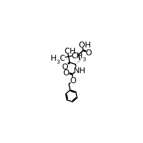 CC(C)(C)C(=O)[C@H](CCC(=O)O)NC(=O)OCc1ccccc1